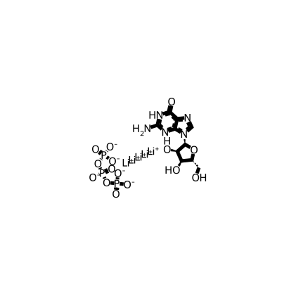 Nc1nc2c(ncn2[C@@H]2O[C@H](CO)[C@@H](O)[C@H]2O)c(=O)[nH]1.O=P([O-])([O-])OP(=O)([O-])OP(=O)([O-])[O-].[Li+].[Li+].[Li+].[Li+].[Li+]